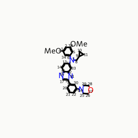 COc1cc(OC)cc(N(CC2CC2)c2ccc3ncc(-c4cccc(N5CCOCC5)c4)nc3c2)c1